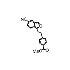 COC(=O)c1ccc(CCc2occ3cc(C#N)ccc23)cc1